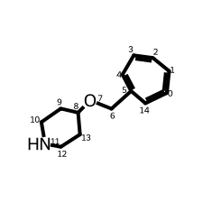 C1=CC=CC=C(COC2CCNCC2)C=1